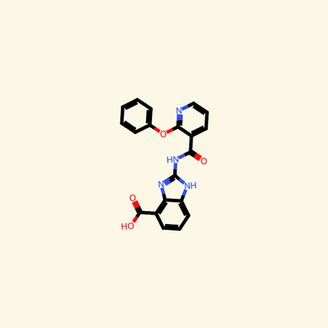 O=C(Nc1nc2c(C(=O)O)cccc2[nH]1)c1cccnc1Oc1ccccc1